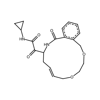 O=C(NC1CC1)C(=O)C1C/C=C/COCCOCc2ccccc2C(=O)N1